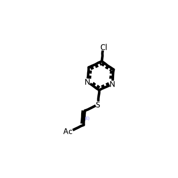 CC(=O)/C=C/Sc1ncc(Cl)cn1